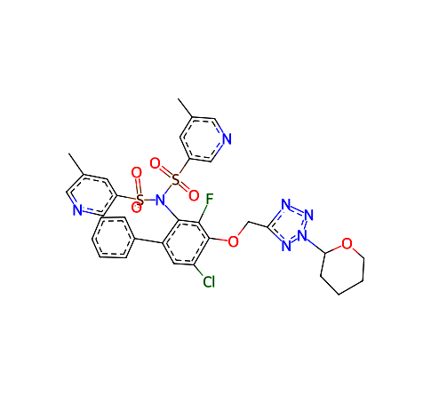 Cc1cncc(S(=O)(=O)N(c2c(-c3ccccc3)cc(Cl)c(OCc3nnn(C4CCCCO4)n3)c2F)S(=O)(=O)c2cncc(C)c2)c1